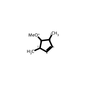 COC1C(C)C=CC1C